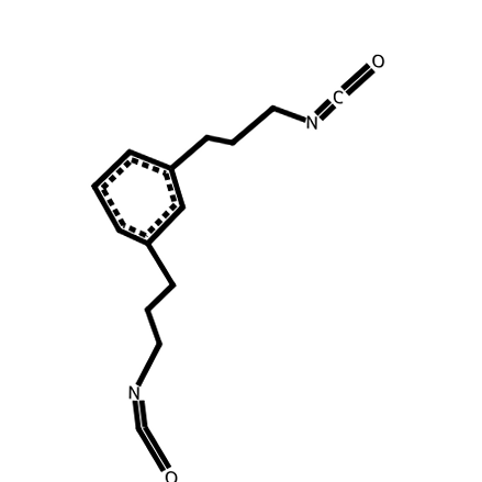 O=C=NCCCc1cccc(CCCN=C=O)c1